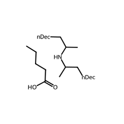 CCCCC(=O)O.CCCCCCCCCCCC(C)NC(C)CCCCCCCCCCC